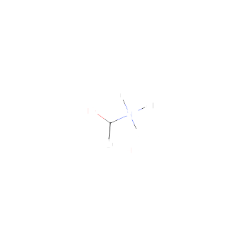 CCC(O)[N+](C)(C)CC.[OH-]